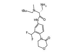 CN(CC(C)(C)C)[C@H](CN)C(=O)Nc1ccc(N2CCOCC2=O)c(C(F)F)c1